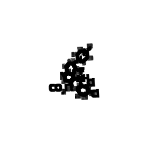 CCOC(=O)c1cnc2ccc(N3CCN(C)CC3)c(F)c2c1Nc1cccc(Cl)c1Cl